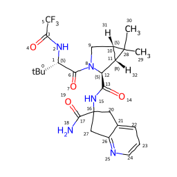 CC(C)(C)[C@H](NC(=O)C(F)(F)F)C(=O)N1C[C@H]2[C@@H]([C@H]1C(=O)NC1(C(N)=O)Cc3cccnc3C1)C2(C)C